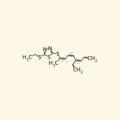 C=C\C=C(C=C)/C=C\C=C(\C)Sc1nnc(SCC)s1